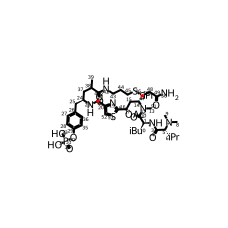 CC[C@H](C)[C@H](NC(=O)[C@@H](C(C)C)N(C)C)C(=O)N(C)[C@H](C[C@@H](OC(C)=O)c1nc(C(=O)N[C@@H](Cc2ccc(OP(=O)(O)O)cc2)CC(C)C(=O)NCCCSSCC(N)=O)cs1)C(C)C